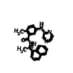 Cc1ccc(Nc2cnccn2)cc1C(=O)N[C@H](C)c1cccc2ccccc12